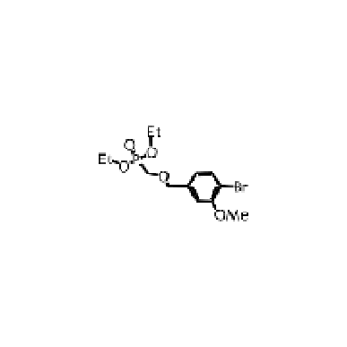 CCOP(=O)(COCc1ccc(Br)c(OC)c1)OCC